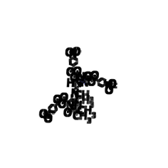 CC(C)[C@H]1C(=O)N2C(C(=O)OC(=O)c3ccc([N+](=O)[O-])cc3)=C(CN(C)CCN/C(=N/C(=O)OC(=O)c3ccc([N+](=O)[O-])cc3)NC(=O)OC(=O)c3ccc([N+](=O)[O-])cc3)[C@H](C)[C@H]12